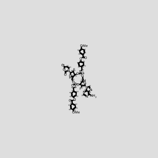 COc1ccc(C(=O)Oc2ccc(CSP3(=O)OC[C@H]4O[C@@H](n5cnc6c(N)ncnc65)C(F)C4OP(=O)(SCc4ccc(OC(=O)c5ccc(OC)cc5)cc4)OC[C@H]4O[C@@H](n5ccc(=O)oc5=O)C(F)C4O3)cc2)cc1